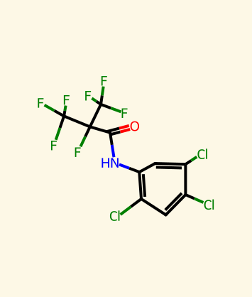 O=C(Nc1cc(Cl)c(Cl)cc1Cl)C(F)(C(F)(F)F)C(F)(F)F